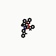 CC1c2ccccc2-c2ccc(N(c3ccc4c(c3)C(C)(C)c3ccccc3-4)c3cccc4c3C3(c5ccccc5Oc5cc6ccccc6cc53)c3ccccc3-4)cc21